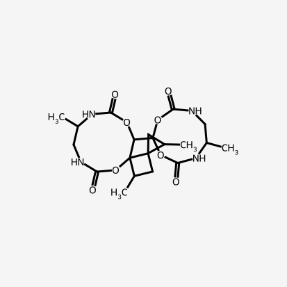 CC1CNC(=O)OC(C2OC(=O)NC(C)CNC(=O)OC23C(C)CC32CC2C)OC(=O)N1